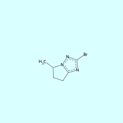 CC1CCc2nc(Br)nn21